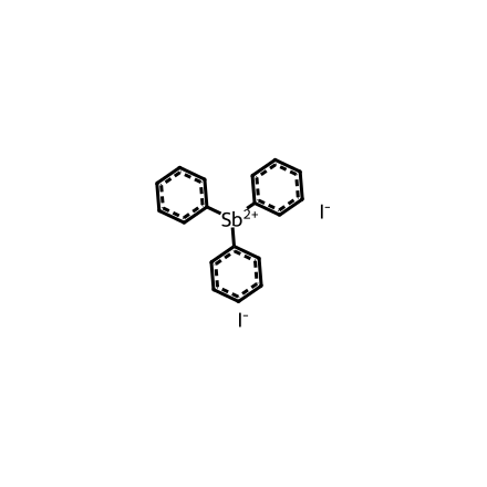 [I-].[I-].c1cc[c]([Sb+2]([c]2ccccc2)[c]2ccccc2)cc1